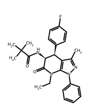 CCN1C(=O)[C@@H](NC(=O)C(C)(C)C)[C@@H](c2ccc(F)cc2)c2c(C)nn(-c3ccccc3)c21